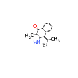 C=C1C(=N)/C(=C(/C)CC)c2ccccc2C1=O